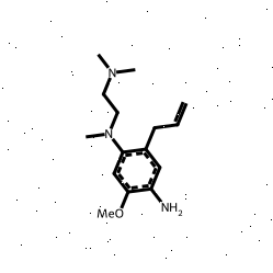 C=CCc1cc(N)c(OC)cc1N(C)CCN(C)C